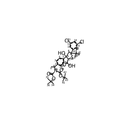 C[C@@H](c1ccc(C2(O)CC(c3cc(Cl)cc(Cl)c3)(C(F)(F)F)SC2C(=O)O)cc1)N(C(=O)OC(C)(C)C)C(=O)OC(C)(C)C